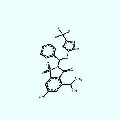 CC(C)c1cc(O)cc2c1C(=O)N(C(Oc1cc(C(F)(F)F)n[nH]1)c1ccccc1)S2(=O)=O